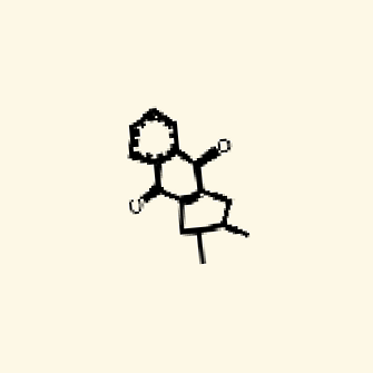 CC1CC2=C(CC1C)C(=O)c1ccccc1C2=O